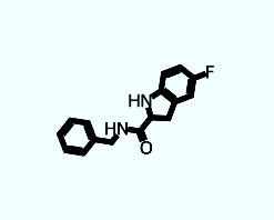 O=C(NCc1ccccc1)C1Cc2cc(F)ccc2N1